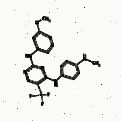 CNc1ccc(Nc2nc(Nc3cccc(OC)c3)ncc2C(F)(F)F)cc1